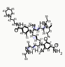 C=CCCCOc1cc(C(N)=O)cc(N)c1N(C/C=C/CN(C(/C=C/C(C)=N\NCC)=N\C)c1ccc(C(=O)NCCCN2CCCCC2)cc1C)C/C=C/C(C)=N\NCC